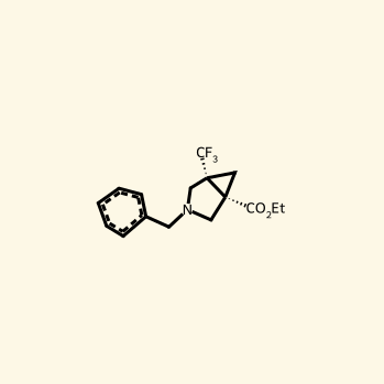 CCOC(=O)[C@]12CN(Cc3ccccc3)C[C@@]1(C(F)(F)F)C2